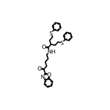 O=C(CCCCNC(=O)C(CCSc1ccccc1)CCSc1ccccc1)c1nc2ccccc2o1